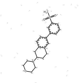 CS(=O)(=O)c1cccc(-c2ccc3c(c2)CCC(N2CCOCC2)C3)c1